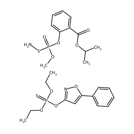 CCOP(=S)(OCC)Oc1cc(-c2ccccc2)on1.COP(=O)(Oc1ccccc1C(=O)OC(C)C)SN